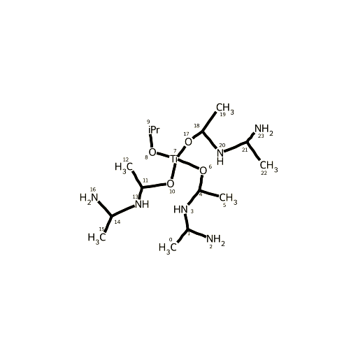 CC(N)NC(C)[O][Ti]([O]C(C)C)([O]C(C)NC(C)N)[O]C(C)NC(C)N